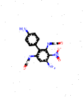 Nc1ccc(-c2c(N=C=O)cc(N)c([N+](=O)[O-])c2N=C=O)cc1